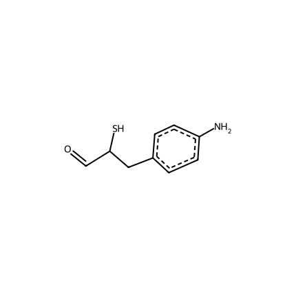 Nc1ccc(CC(S)C=O)cc1